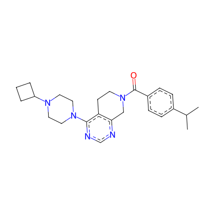 CC(C)c1ccc(C(=O)N2CCc3c(ncnc3N3CCN(C4CCC4)CC3)C2)cc1